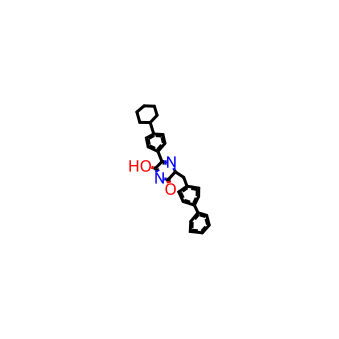 O=C1N=C(O)C(c2ccc(C3CCCCC3)cc2)=NC1Cc1ccc(-c2ccccc2)cc1